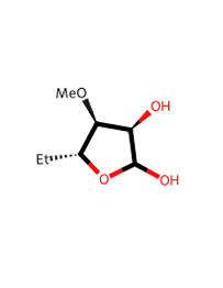 CC[C@H]1OC(O)[C@H](O)[C@@H]1OC